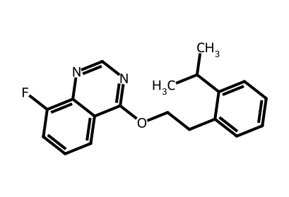 CC(C)c1ccccc1CCOc1ncnc2c(F)cccc12